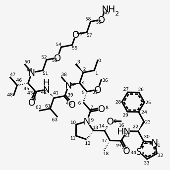 CC[C@H](C)[C@@H]([C@@H](CC(=O)N1CCC[C@H]1[C@H](OC)[C@@H](C)C(=O)N[C@@H](Cc1ccccc1)c1nccs1)OC)N(C)C(=O)[C@@H](NC(=O)[C@H](C(C)C)N(C)CCOCCOCCON)C(C)C